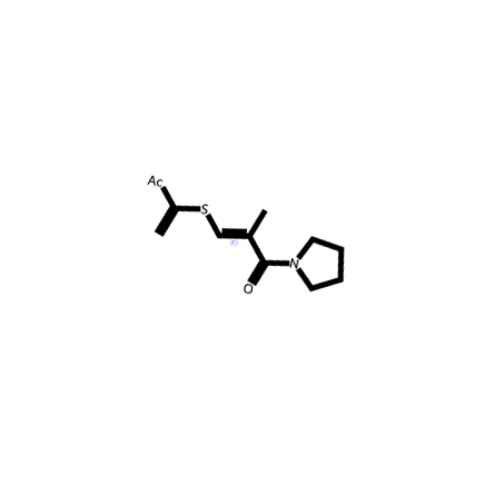 C=C(S/C=C(\C)C(=O)N1CCCC1)C(C)=O